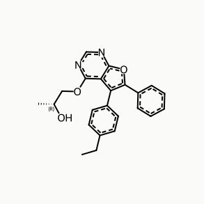 CCc1ccc(-c2c(-c3ccccc3)oc3ncnc(OC[C@@H](C)O)c23)cc1